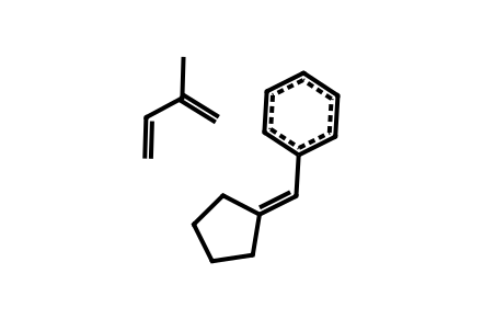 C(=C1CCCC1)c1ccccc1.C=CC(=C)C